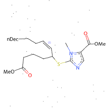 CCCCCCCCCCCC/C=C\C(CCCC(=O)OC)Sc1ncc(C(=O)OC)n1C